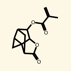 C=C(C)C(=O)OC1C2CC3C(=O)OC1C31CC21